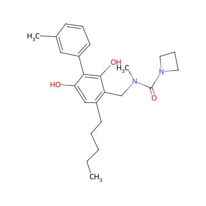 CCCCCc1cc(O)c(-c2cccc(C)c2)c(O)c1CN(C)C(=O)N1CCC1